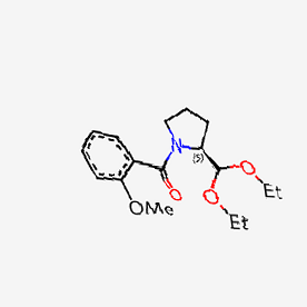 CCOC(OCC)[C@@H]1CCCN1C(=O)c1ccccc1OC